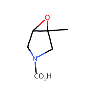 CC12CN(C(=O)O)CC1O2